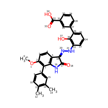 COc1ccc2c(c1-c1ccc(C)c(C)c1)NC(=O)C2=NNc1cccc(-c2cccc(C(=O)O)c2)c1O